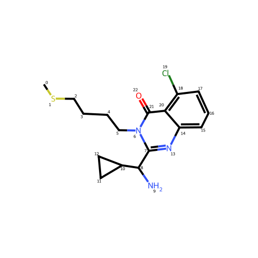 CSCCCCn1c(C(N)C2CC2)nc2cccc(Cl)c2c1=O